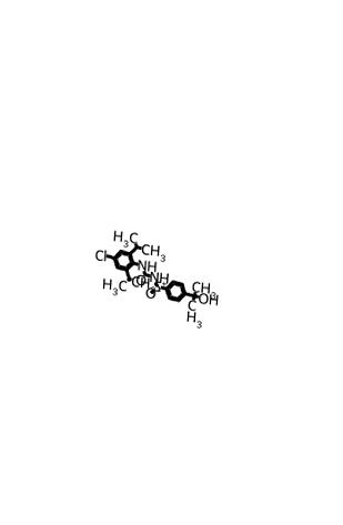 CC(C)c1cc(Cl)cc(C(C)C)c1NC(=O)N[S+]([O-])c1ccc(C(C)(C)O)cc1